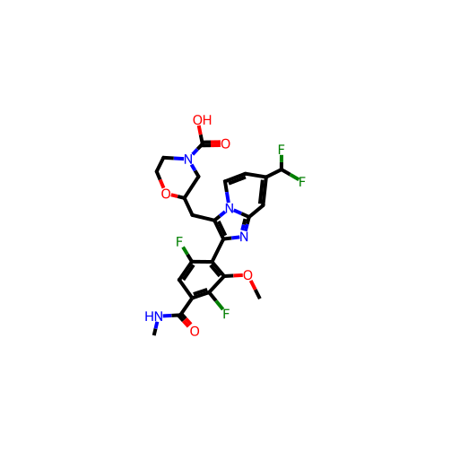 CNC(=O)c1cc(F)c(-c2nc3cc(C(F)F)ccn3c2CC2CN(C(=O)O)CCO2)c(OC)c1F